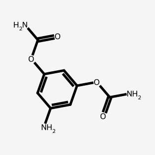 NC(=O)Oc1cc(N)cc(OC(N)=O)c1